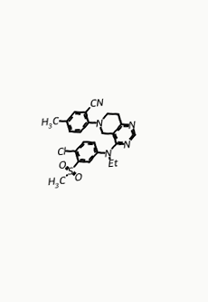 CCN(c1ccc(Cl)c(S(C)(=O)=O)c1)c1ncnc2c1CN(c1ccc(C)cc1C#N)CC2